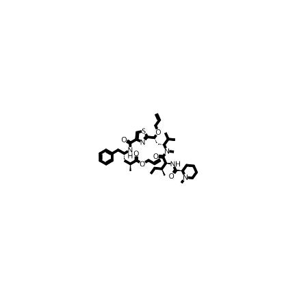 C=CCOC(=O)[C@@H](C)C[C@H](Cc1ccccc1)NC(=O)c1csc([C@@H](C[C@H](C(C)C)N(C)C(=O)[C@@H](NC(=O)[C@H]2CCCCN2C)[C@@H](C)CC)OCC=C)n1